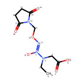 CCN(CC(=O)O)[N+]([O-])=NOCN1C(=O)CCC1=O